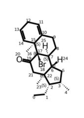 CC[C@H]1[C@@H](C)C[C@H]2[C@@H]3CCC4=CCC=C[C@]4(C)[C@@]3(Br)C(=O)C[C@]12C